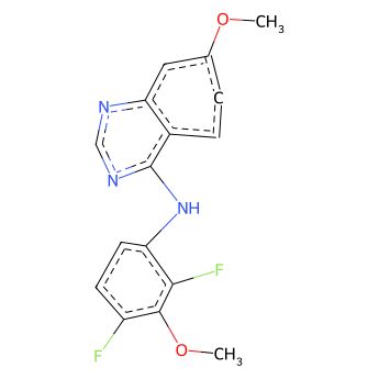 COc1ccc2c(Nc3ccc(F)c(OC)c3F)ncnc2c1